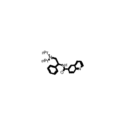 CCCN(CCC)CC(NC(=O)c1ccc2ncccc2c1)c1ccccc1